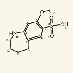 COc1cc2c(cc1S(=O)(=O)O)CCCCN2